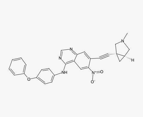 CN1C[C@H]2C[C@@]2(C#Cc2cc3ncnc(Nc4ccc(Oc5ccccc5)cc4)c3cc2[N+](=O)[O-])C1